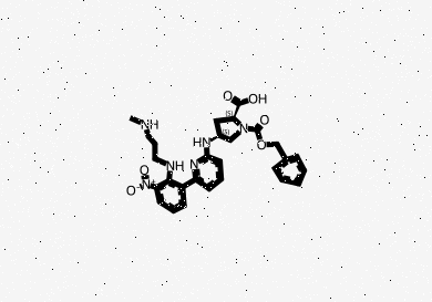 CNCCCNc1c(-c2cccc(N[C@H]3C[C@@H](C(=O)O)N(C(=O)OCc4ccccc4)C3)n2)cccc1[N+](=O)[O-]